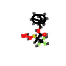 CC(SOO)(C(=O)OCC12CC3CC(CC(C3)C1)C2)C(F)(F)F